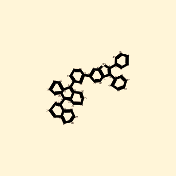 c1ccc(-c2sc3cc(-c4cccc(-c5c6ccccc6c(-c6cccc7ccccc67)c6ccccc56)c4)ccc3c2-c2ccccc2)cc1